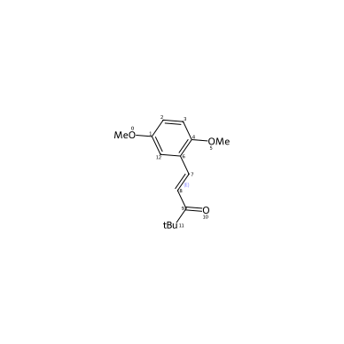 COc1ccc(OC)c(/C=C/C(=O)C(C)(C)C)c1